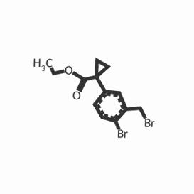 CCOC(=O)C1(c2ccc(Br)c(CBr)c2)CC1